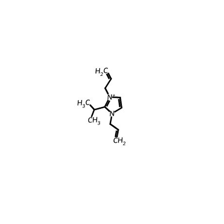 C=CCn1cc[n+](CC=C)c1C(C)C